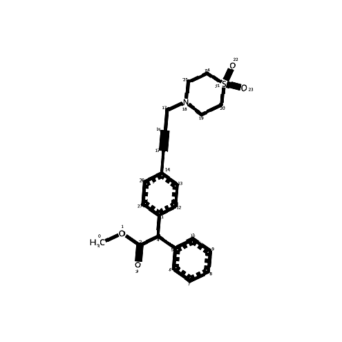 COC(=O)C(c1ccccc1)c1ccc(C#CCN2CCS(=O)(=O)CC2)cc1